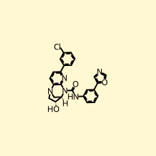 O=C(Nc1cccc(-c2cnco2)c1)N1c2nc(-c3cccc(Cl)c3)ccc2N2C[C@@H](O)[C@H]1C2